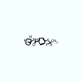 CC(F)(F)Sc1ccc(C(=O)N[C@@H]2CN3CCC2CC3)cc1